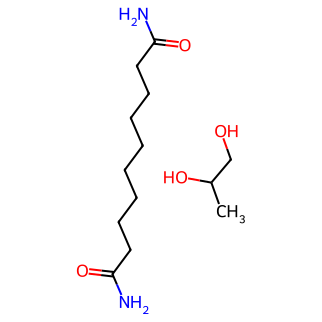 CC(O)CO.NC(=O)CCCCCCCCC(N)=O